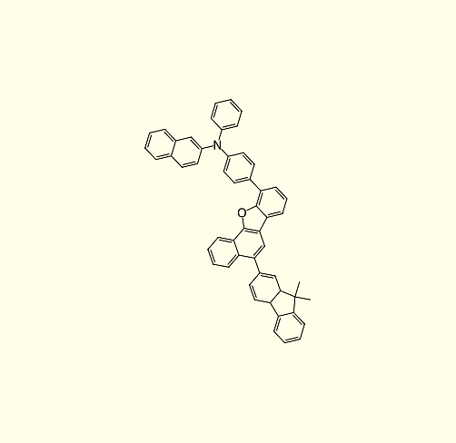 CC1(C)c2ccccc2C2C=CC(c3cc4c5cccc(-c6ccc(N(c7ccccc7)c7ccc8ccccc8c7)cc6)c5oc4c4ccccc34)=CC21